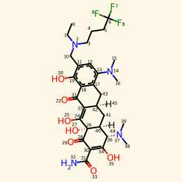 CCN(CCCC(F)(F)F)Cc1cc(N(C)C)c2c(c1O)C(=O)C1=C(O)[C@]3(O)C(=O)C(C(N)=O)=C(O)[C@@H](N(C)C)[C@@H]3C[C@@H]1C2